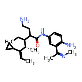 C/C=C(/C1CC1)[C@@H](C)C(CC)C(CCN)C(=O)Nc1ccc(N)c(/C(C)=N\C)c1